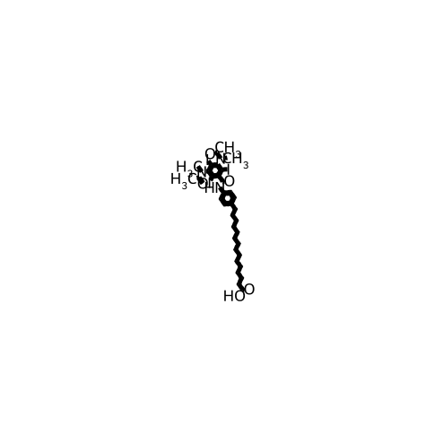 CC(=O)N(C)c1c(I)c(C(=O)Nc2ccc(CCCCCCCCCCCCCCC(=O)O)cc2)c(I)c(N(C)C(C)=O)c1I